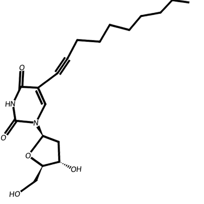 CCCCCCCCC#Cc1cn([C@H]2C[C@H](O)[C@@H](CO)O2)c(=O)[nH]c1=O